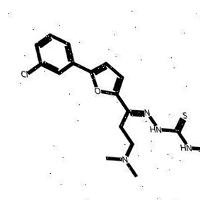 CNC(=S)N/N=C(\CCN(C)C)c1ccc(-c2cccc(Cl)c2)o1